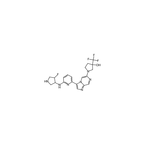 OC1(C(F)(F)F)CCN(c2cn3c(-c4cccc(NC5CNCC5F)n4)cnc3cn2)C1